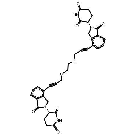 O=C1CC[C@H](N2Cc3c(C#CCOCCOCC#Cc4cccc5c4CN([C@H]4CCC(=O)NC4=O)C5=O)cccc3C2=O)C(=O)N1